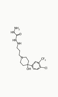 NNC(=O)NNCCCN1CCC(O)(c2ccc(Cl)c(C(F)(F)F)c2)CC1